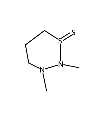 CN1CCCS(=S)N1C